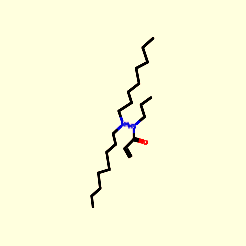 C=CC(=O)NCCC.CCCCCCCCNCCCCCCCC